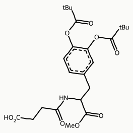 COC(=O)C(Cc1ccc(OC(=O)C(C)(C)C)c(OC(=O)C(C)(C)C)c1)NC(=O)CCC(=O)O